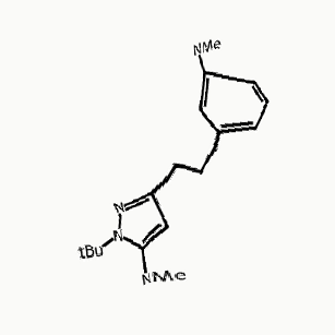 CNc1cccc(CCc2cc(NC)n(C(C)(C)C)n2)c1